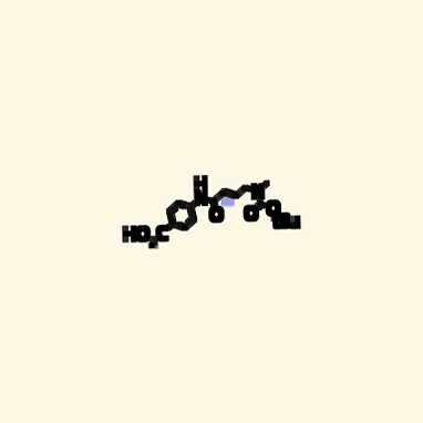 CN(C/C=C/C(=O)Nc1ccc(C(=O)O)cc1)C(=O)OC(C)(C)C